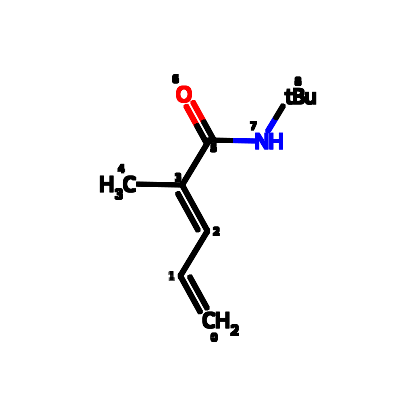 C=CC=C(C)C(=O)NC(C)(C)C